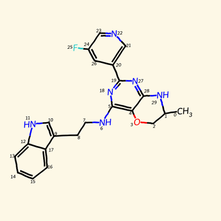 CC1COc2c(NCCc3c[nH]c4ccccc34)nc(-c3cncc(F)c3)nc2N1